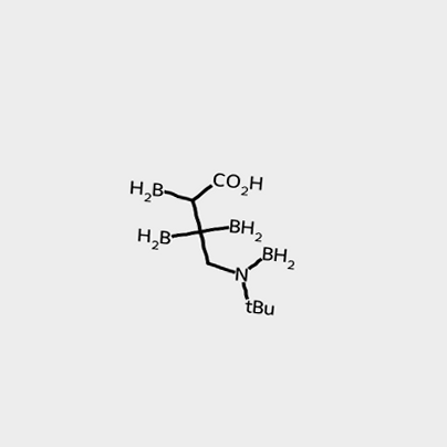 BC(C(=O)O)C(B)(B)CN(B)C(C)(C)C